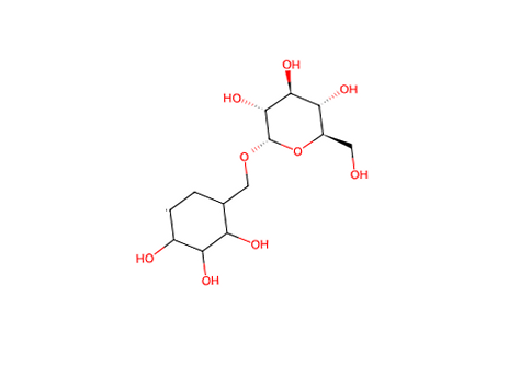 OC[C@H]1O[C@H](OCC2C[CH]C(O)C(O)C2O)[C@H](O)[C@@H](O)[C@@H]1O